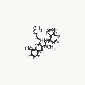 CSCCNc1nc2c(Cl)cccc2cc1[C@H](C)Nc1ncnc2[nH]cnc12